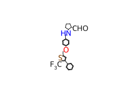 O=CC1CCC[C@@H]1NCc1ccc(OCc2cc(-c3ccccc3)c(C(F)(F)F)s2)cc1